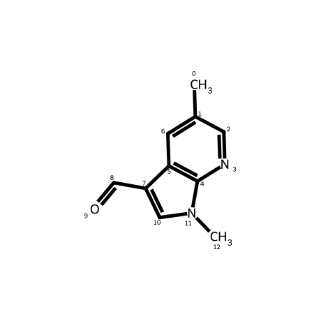 Cc1cnc2c(c1)c(C=O)cn2C